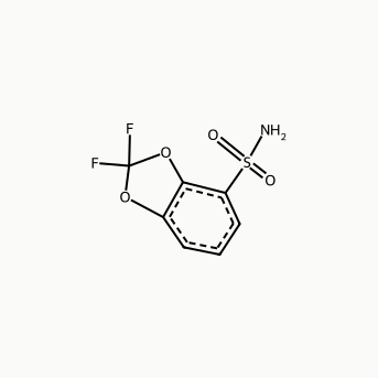 NS(=O)(=O)c1cccc2c1OC(F)(F)O2